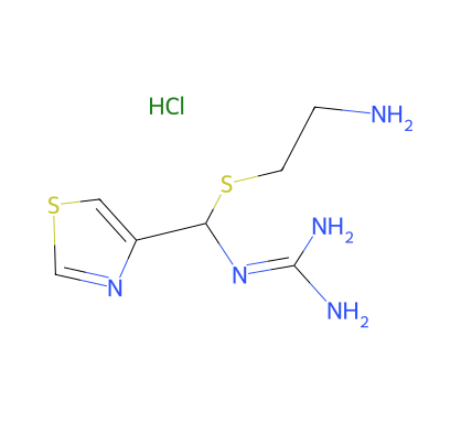 Cl.NCCSC(N=C(N)N)c1cscn1